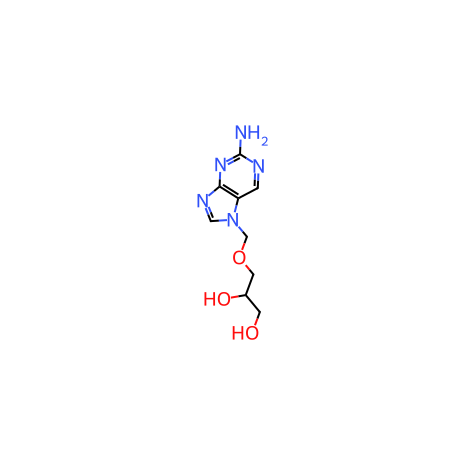 Nc1ncc2c(ncn2COCC(O)CO)n1